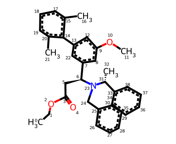 CCOC(=O)C[C@@H](c1cc(OC)cc(-c2c(C)cccc2C)c1)N(Cc1ccccc1)[C@H](C)c1ccccc1